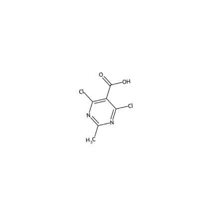 Cc1nc(Cl)c(C(=O)O)c(Cl)n1